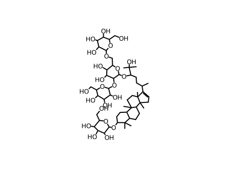 CC(CCC(OC1OC(COC2OC(CO)C(O)C(O)C2O)C(O)C(O)C1OC1OC(CO)C(O)C(O)C1O)C(C)(C)O)C1=CCC2(C)C3CCC4C(CCC(OC5OC(CO)C(O)C(O)C5O)C4(C)C)C3(C)CCC12C